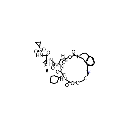 C=C[C@@H]1C[C@]1(NC(=O)[C@@H]1C[C@@H]2CN1C(=O)[C@H](C1CCCCC1)NC(=O)OCCC/C=C/c1cccc3c1CN(CC3)C(=O)O2)C(=O)NS(=O)(=O)C1CC1